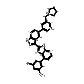 Cc1cc(F)cc(-c2ccnc3[nH]c(-c4n[nH]c5ncc(-c6cncc(CN7CCCC7)c6)cc45)nc23)c1